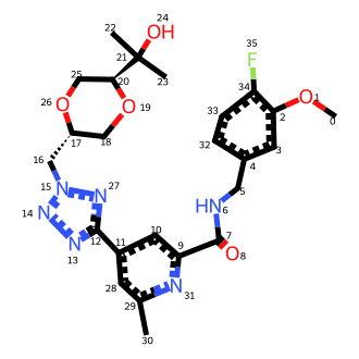 COc1cc(CNC(=O)c2cc(-c3nnn(C[C@H]4CO[C@H](C(C)(C)O)CO4)n3)cc(C)n2)ccc1F